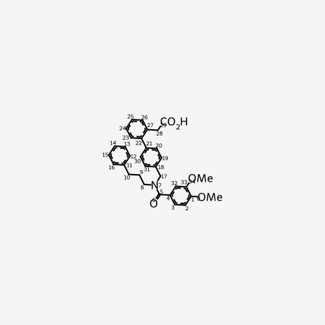 COc1ccc(C(=O)N(CCCc2ccccc2)Cc2ccc(-c3ccccc3CC(=O)O)cc2)cc1OC